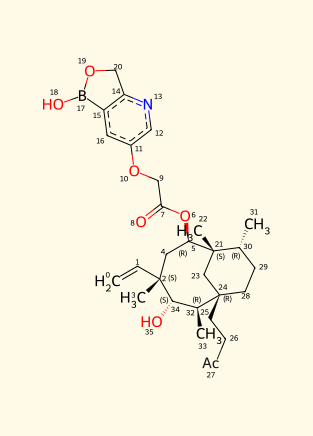 C=C[C@]1(C)C[C@@H](OC(=O)COc2cnc3c(c2)B(O)OC3)[C@@]2(C)C[C@](CCC(C)=O)(CC[C@H]2C)[C@@H](C)[C@@H]1O